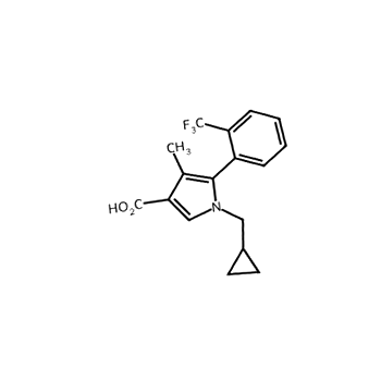 Cc1c(C(=O)O)cn(CC2CC2)c1-c1ccccc1C(F)(F)F